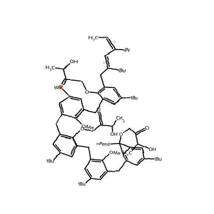 C/C=C(\C=C(\Cc1cc(C(C)(C)C)cc(Cc2cc(C(C)(C)C)cc(Cc3cc(C(C)(C)C)cc(Cc4cc(C(C)(C)C)cc(Cc5cc(C(C)(C)C)cc6c5C6(CCCCC)OCC(=O)C(C)O)c4OC)c3OCC(=O)C(C)O)c2OC)c1OCC(=O)C(C)O)C(C)CC)C(C)C